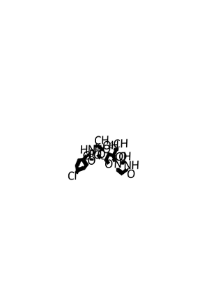 C#C[C@@]1(O)[C@H](O)[C@@H](COP(=O)(NC(C)C(=O)O)Oc2ccc(Cl)cc2)O[C@H]1n1ccc(=O)[nH]c1=O